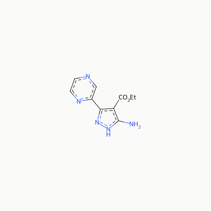 CCOC(=O)c1c(-c2cnccn2)n[nH]c1N